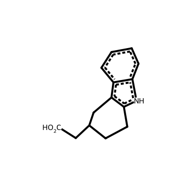 O=C(O)CC1CCc2[nH]c3ccccc3c2C1